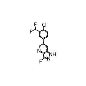 Fc1n[nH]c2cc(-c3ccc(Cl)c(C(F)F)c3)cnc12